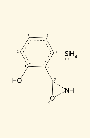 Oc1ccccc1C1NO1.[SiH4]